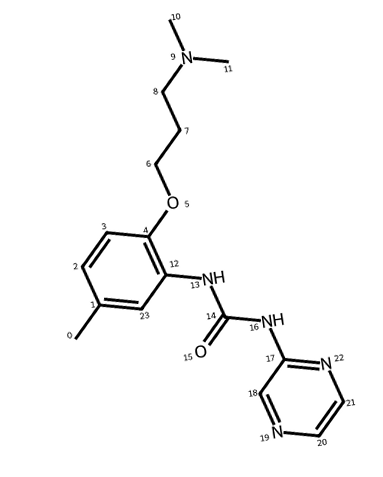 Cc1ccc(OCCCN(C)C)c(NC(=O)Nc2cnccn2)c1